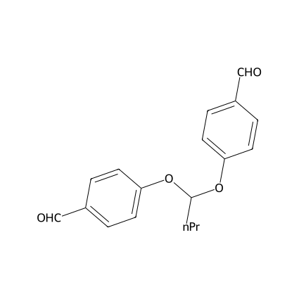 CCCC(Oc1ccc(C=O)cc1)Oc1ccc(C=O)cc1